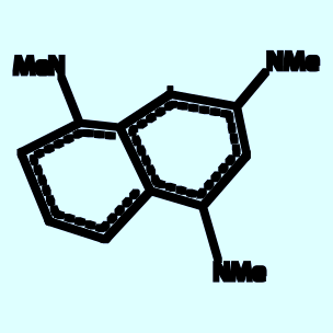 CNc1[c]c2c(NC)cccc2c(NC)c1